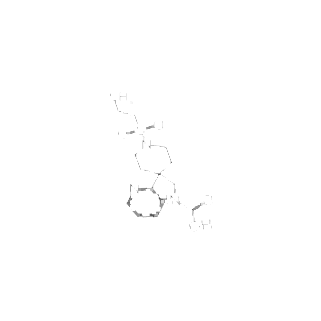 CCCS(=O)(=O)N1CCC(CNC(=O)O)(c2ccccn2)CC1